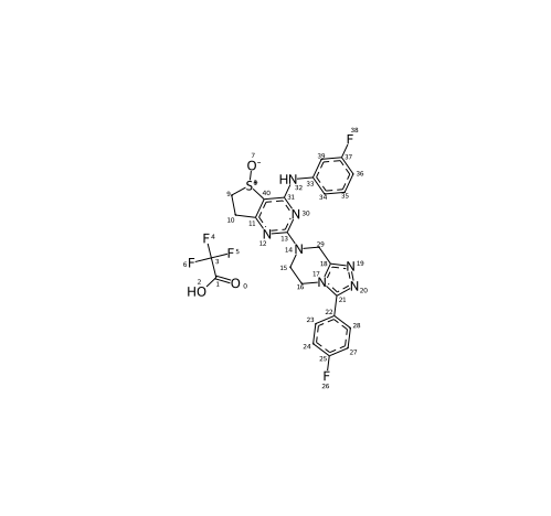 O=C(O)C(F)(F)F.[O-][S+]1CCc2nc(N3CCn4c(nnc4-c4ccc(F)cc4)C3)nc(Nc3cccc(F)c3)c21